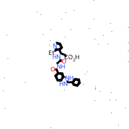 CCc1ncccc1C(CC(=O)O)NC(=O)CNC(=O)c1cccc(NC(=N)c2ccccc2)c1